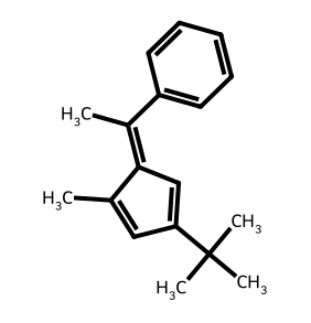 CC1=CC(C(C)(C)C)=CC1=C(C)c1ccccc1